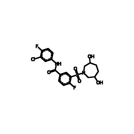 O=C(Nc1ccc(F)c(Cl)c1)c1ccc(F)c(S(=O)(=O)N2CC(O)CCC(O)C2)c1